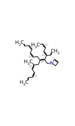 C=C/C=C\C=C/C\C(C/C(C)=C\C=C/C=C)=C(CN1C=CC1)/C(C=C)=C/C=C\C